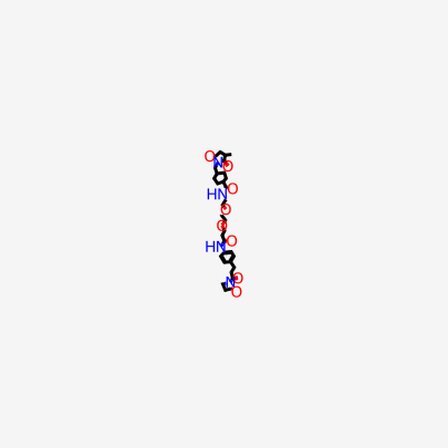 CC1CC(=O)N(CC2CCC(C(=O)NCCOCCOCCC(=O)Nc3ccc(CCC(=O)N4CCC4=O)cc3)CC2)C1=O